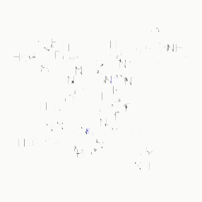 CCn1nc(C)cc1C(=O)/N=c1\n(C)c2cc(C(N)=O)ccc2n1CC(F)(F)C(F)(F)Cn1/c(=N/C(=O)c2cc(C)nn2CC)n(C)c2cc(C(N)=O)ccc21.O=C(O)C(F)(F)F